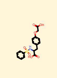 O=C(O)COc1ccc(CC(NS(=O)(=O)c2ccccc2)C(=O)O)cc1